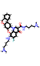 CN(C)CCCCNC(=O)c1cn2c3c(c(NCCCCN(C)C)c(F)cc3c1=O)Oc1cc3c(cc1-2)-c1ccccc1CO3